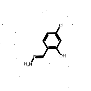 NN=Cc1ccc(Cl)cc1O